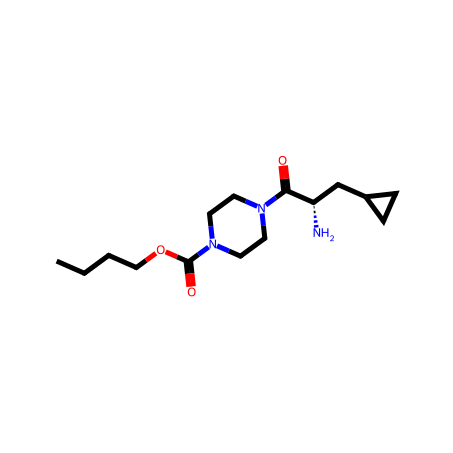 CCCCOC(=O)N1CCN(C(=O)[C@@H](N)CC2CC2)CC1